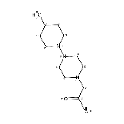 CC1CCN(N2CCN(CC(N)=O)CC2)CC1